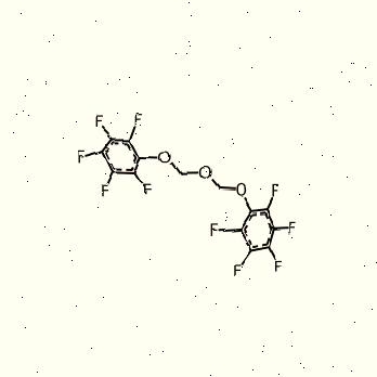 Fc1c(F)c(F)c(OCOCOc2c(F)c(F)c(F)c(F)c2F)c(F)c1F